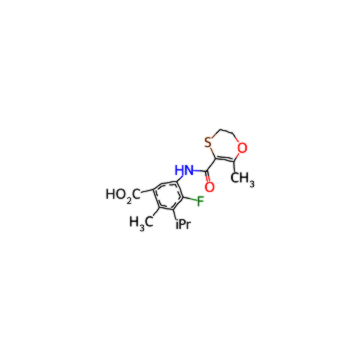 CC1=C(C(=O)Nc2cc(C(=O)O)c(C)c(C(C)C)c2F)SCCO1